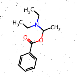 CCN(CC)C(C)OC(=O)c1ccccc1